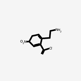 C=C(Cl)C1=CC([N+](=O)[O-])CC=C1CCN